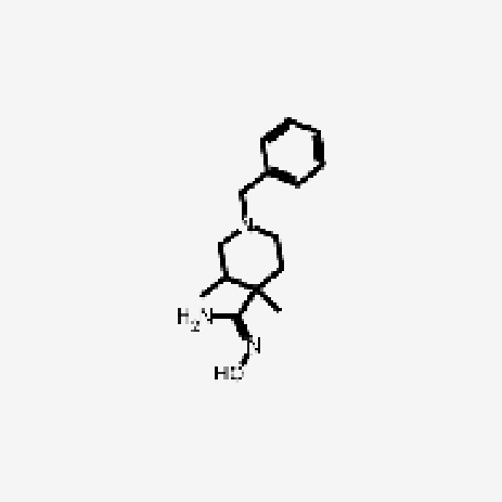 CC1CN(Cc2ccccc2)CCC1(C)/C(N)=N/O